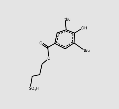 CC(C)(C)c1cc(C(=O)OCCCS(=O)(=O)O)cc(C(C)(C)C)c1O